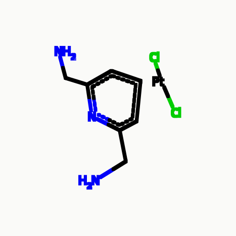 NCc1cccc(CN)n1.[Cl][Pt][Cl]